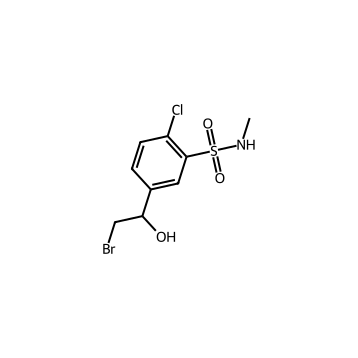 CNS(=O)(=O)c1cc(C(O)CBr)ccc1Cl